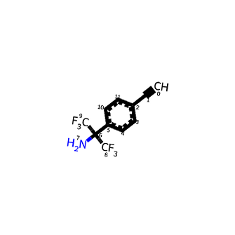 C#Cc1ccc(C(N)(C(F)(F)F)C(F)(F)F)cc1